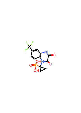 O=c1[nH]c2cc(C(F)(F)F)ccc2n(C2(P(=O)(O)O)CC2)c1=O